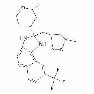 C[C@@H]1C[C@H](C2(Cc3cn(C)nn3)Nc3cnc4ccc(C(F)(F)F)cc4c3N2)CCO1